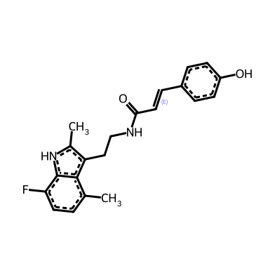 Cc1[nH]c2c(F)ccc(C)c2c1CCNC(=O)/C=C/c1ccc(O)cc1